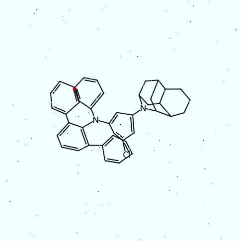 Clc1cc(N(c2ccccc2)c2c(-c3ccccc3)cccc2-c2ccccc2)cc(N2C3CC4CC2C2CCCC4C2C3)c1